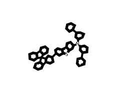 c1ccc(-c2cccc(N(c3cccc(-c4ccccc4)c3)c3ccc4c(c3)sc3cc(-c5ccc6c(c5)C5(c7ccccc7-c7ccccc75)c5ccccc5-6)ccc34)c2)cc1